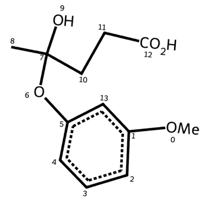 COc1cccc(OC(C)(O)CCC(=O)O)c1